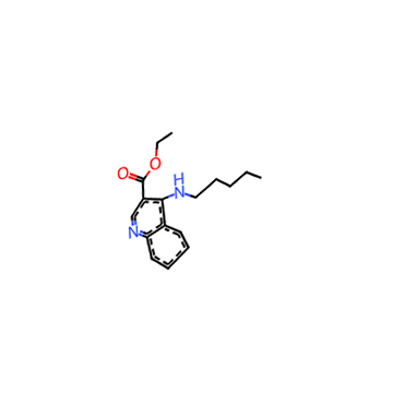 CCCCCNc1c(C(=O)OCC)cnc2ccccc12